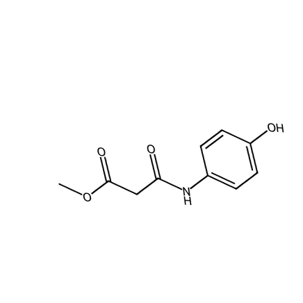 COC(=O)CC(=O)Nc1ccc(O)cc1